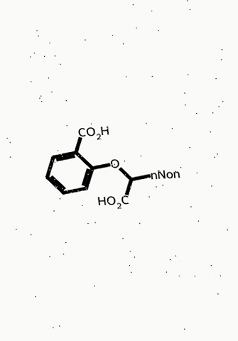 CCCCCCCCCC(Oc1ccccc1C(=O)O)C(=O)O